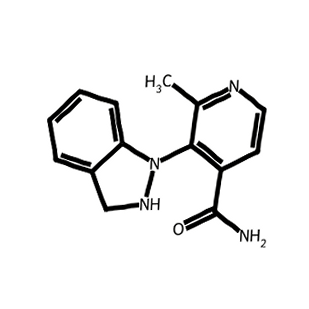 Cc1nccc(C(N)=O)c1N1NCc2ccccc21